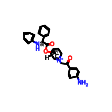 Nc1ccc(C(=O)C[N+]23CCC(CC2)[C@@H](OC(=O)[C@H](Nc2ccccc2)c2ccccc2)C3)cc1